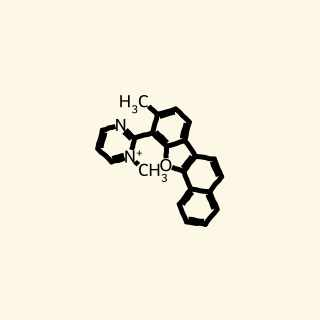 Cc1ccc2c(oc3c4ccccc4ccc23)c1-c1nccc[n+]1C